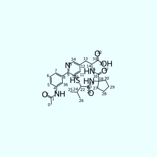 CC(=O)Nc1cccc(-c2ccc(CC(NC(=O)C3(NC(=O)C(S)C(C)C)CCCC3)C(=O)O)cn2)c1